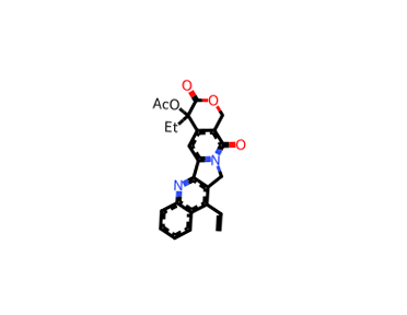 C=Cc1c2c(nc3ccccc13)-c1cc3c(c(=O)n1C2)COC(=O)C3(CC)OC(C)=O